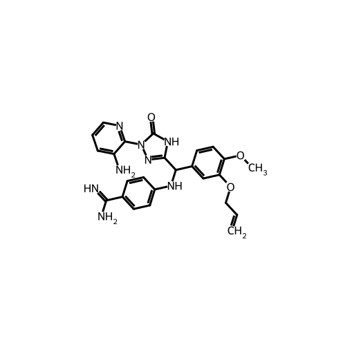 C=CCOc1cc(C(Nc2ccc(C(=N)N)cc2)c2nn(-c3ncccc3N)c(=O)[nH]2)ccc1OC